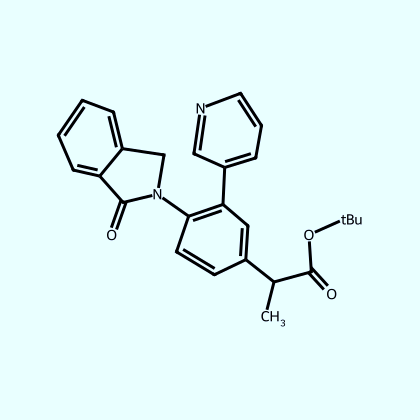 CC(C(=O)OC(C)(C)C)c1ccc(N2Cc3ccccc3C2=O)c(-c2cccnc2)c1